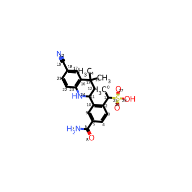 CC(c1ccc(C(N)=O)cc1C1CC(C)(C)c2cc(C#N)ccc2N1)S(=O)(=O)O